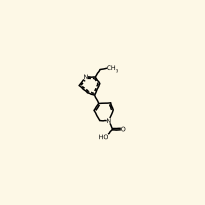 CCc1cc(C2=CCN(C(=O)O)C=C2)ccn1